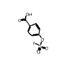 O=C(O)c1ccc(OS(=O)(=O)F)cc1